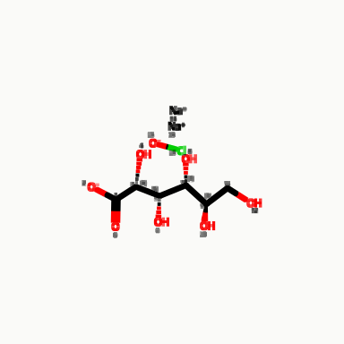 O=C([O-])[C@H](O)[C@@H](O)[C@H](O)[C@H](O)CO.[Na+].[Na+].[O-]Cl